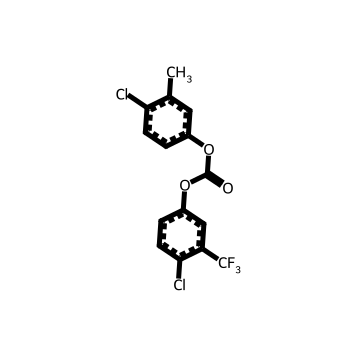 Cc1cc(OC(=O)Oc2ccc(Cl)c(C(F)(F)F)c2)ccc1Cl